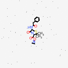 CC1(C)SC2[C@H](NC(=O)Cc3ccccc3)C(=O)N2C1C(=O)ON1CC1